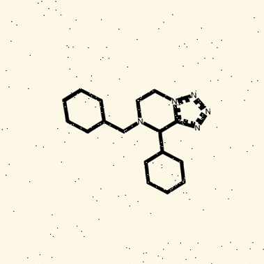 C1CCC(CN2CCn3nnnc3C2C2CCCCC2)CC1